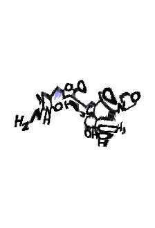 C[C@]12CC[C@@H](O)[C@@](C)(CO)C1CC(N1CCOCC1)C1(CO1)C2/C=C/C1=CC(=C\c2cnc(N)[nH]c2=O)/OC1=O